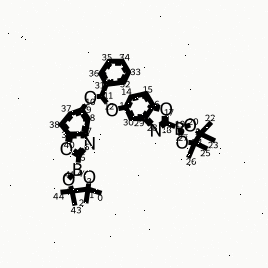 CC1(C)OB(c2nc3cc(OC(Oc4ccc5oc(B6OC(C)(C)C(C)(C)O6)nc5c4)c4ccccc4)ccc3o2)OC1(C)C